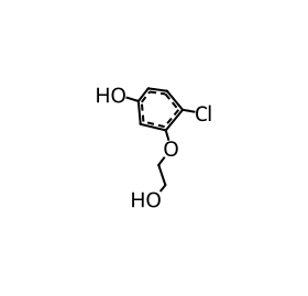 OCCOc1cc(O)ccc1Cl